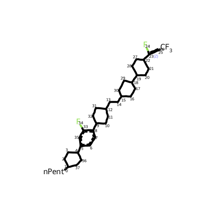 CCCCCC1CCC(c2ccc(C3CCC(CCC4CCC(C5CCC(/C(F)=C/C(F)(F)F)CC5)CC4)CC3)c(F)c2)CC1